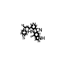 Cc1c(Nc2c(C#N)cncc2C=CC(C)N2CCN(C)CC2)ccc2[nH]ccc12